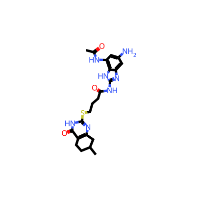 CC(=O)Nc1cc(N)cc2nc(NC(=O)CCCSc3nc4c(c(=O)[nH]3)CCC(C)C4)[nH]c12